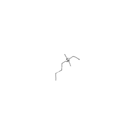 CCCC[Si](C)(C)CC